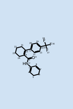 O=C(NC1=CC[CH]C=C1)C1=C(c2ccc(C(F)(F)F)cc2)CCCC1